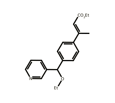 CCOC(=O)C=C(C)c1ccc(C(OCC)c2cccnc2)cc1